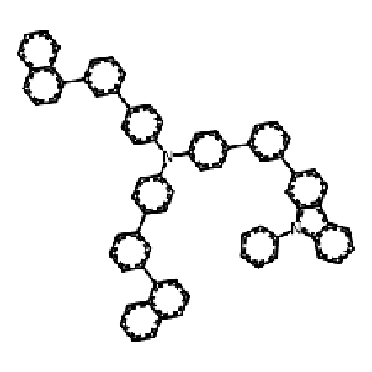 c1ccc(-n2c3ccccc3c3ccc(-c4cccc(-c5ccc(N(c6ccc(-c7cccc(-c8cccc9ccccc89)c7)cc6)c6ccc(-c7cccc(-c8cccc9ccccc89)c7)cc6)cc5)c4)cc32)cc1